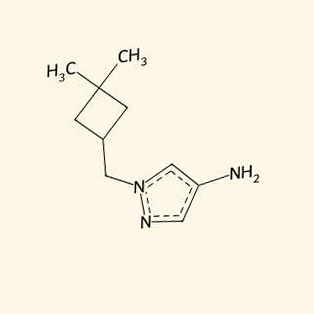 CC1(C)CC(Cn2cc(N)cn2)C1